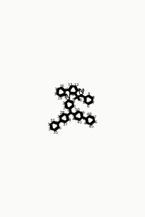 CC1(C)C(c2ccccc2)=Nc2ccc3c4ccccc4n(-c4ccc(C(c5ccc(-c6ccccc6)cc5)c5ccc(-c6ccccc6)cc5)cc4)c3c21